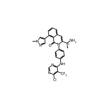 C[C@H](N)c1cc2cccc(-c3cnn(C)c3)c2c(=O)n1-c1ccc(Nc2ncnc(Cl)c2C(F)(F)F)cc1